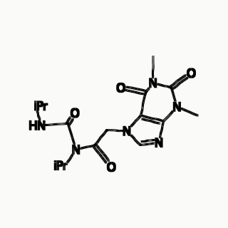 CC(C)NC(=O)N(C(=O)Cn1cnc2c1c(=O)n(C)c(=O)n2C)C(C)C